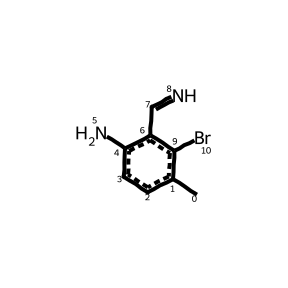 Cc1ccc(N)c(C=N)c1Br